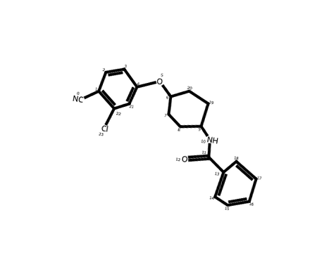 N#Cc1ccc(OC2CCC(NC(=O)c3ccccc3)CC2)cc1Cl